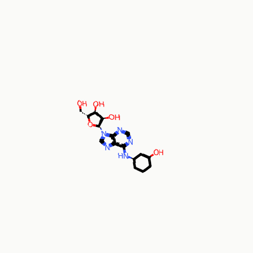 OC[C@H]1O[C@@H](n2cnc3c(N[C@@H]4CCC[C@H](O)C4)ncnc32)[C@H](O)[C@@H]1O